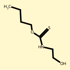 CCCCOC(=S)NCCO